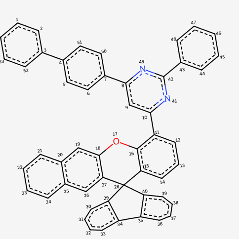 c1ccc(-c2ccc(-c3cc(-c4cccc5c4Oc4cc6ccccc6cc4C54c5ccccc5-c5ccccc54)nc(-c4ccccc4)n3)cc2)cc1